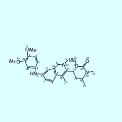 COc1ccc(Nc2ccc3c(c2)CN(C)C(CCC(C)N(C)C(=O)OC(C)(C)C)=C3C)cc1OC